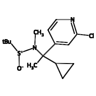 CN([S+]([O-])C(C)(C)C)C(C)(c1ccnc(Cl)c1)C1CC1